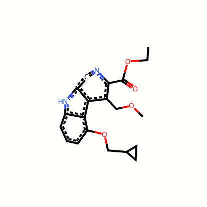 CCOC(=O)c1ncc2[nH]c3cccc(OCC4CC4)c3c2c1COC